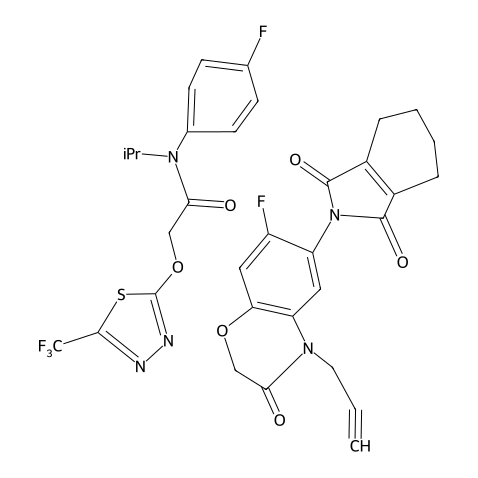 C#CCN1C(=O)COc2cc(F)c(N3C(=O)C4=C(CCCC4)C3=O)cc21.CC(C)N(C(=O)COc1nnc(C(F)(F)F)s1)c1ccc(F)cc1